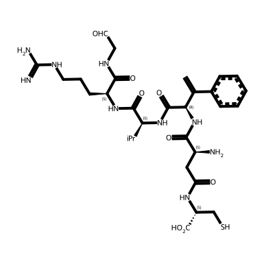 C=C(c1ccccc1)[C@@H](NC(=O)[C@@H](N)CC(=O)N[C@H](CS)C(=O)O)C(=O)N[C@H](C(=O)N[C@@H](CCCNC(=N)N)C(=O)NCC=O)C(C)C